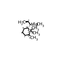 C=C[CH2][Mg][CH3].CC1CCCC[Si]1(C)C